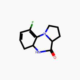 O=C1NC2CC=CC(F)=C2N2CCCC12